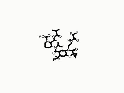 CC(C)C(=O)OC(C)C1[C@H](N(C(=O)c2cc3c(cc2C(F)(F)F)OC2(CC2)C(=O)N3CCNC(=O)C(F)F)C(C)C)CCCN1C(=O)O